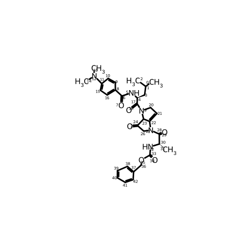 CC(C)C[C@H](NC(=O)c1ccc(N(C)C)cc1)C(=O)N1CC=C2C1C(=O)CN2C(=O)[C@H](C)NC(=O)OCc1ccccc1